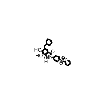 O=C(Nc1ccc(S(=O)(=O)c2ccccn2)cc1)c1cc(Cc2ccccc2)c(O)c(O)c1O